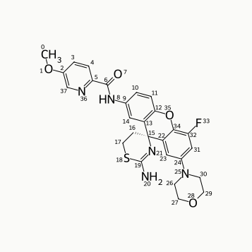 COc1ccc(C(=O)Nc2ccc3c(c2)[C@@]2(CCSC(N)=N2)c2cc(N4CCOCC4)cc(F)c2O3)nc1